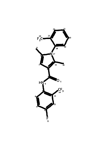 Cc1cc(C(=O)Nc2ccc(F)cc2C(F)(F)F)c(C)n1-c1ccccc1C(F)(F)F